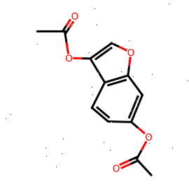 CC(=O)Oc1ccc2c(OC(C)=O)coc2c1